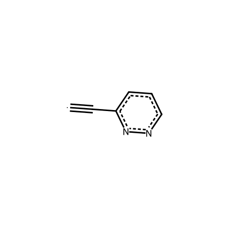 [C]#Cc1cccnn1